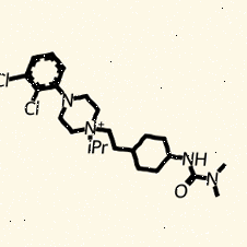 CC(C)[N+]1(CCC2CCC(NC(=O)N(C)C)CC2)CCN(c2cccc(Cl)c2Cl)CC1